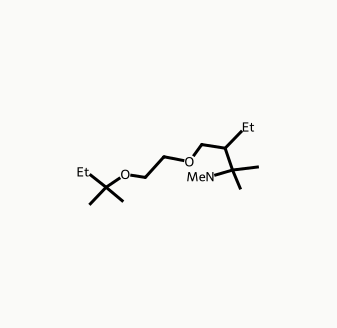 CCC(COCCOC(C)(C)CC)C(C)(C)NC